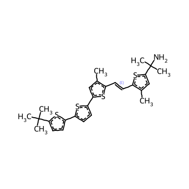 Cc1cc(-c2ccc(-c3ccc(C(C)(C)C)s3)s2)sc1/C=C/c1sc(C(C)(C)N)cc1C